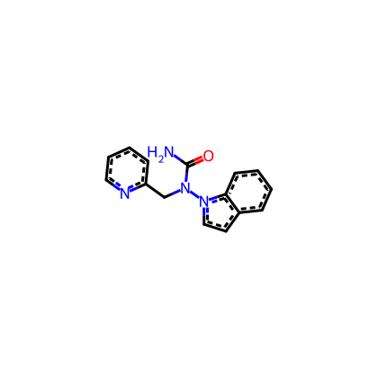 NC(=O)N(Cc1ccccn1)n1ccc2ccccc21